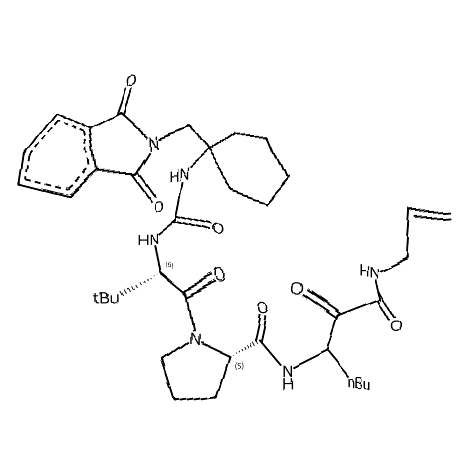 C=CCNC(=O)C(=O)C(CCCC)NC(=O)[C@@H]1CCCN1C(=O)[C@@H](NC(=O)NC1(CN2C(=O)c3ccccc3C2=O)CCCCC1)C(C)(C)C